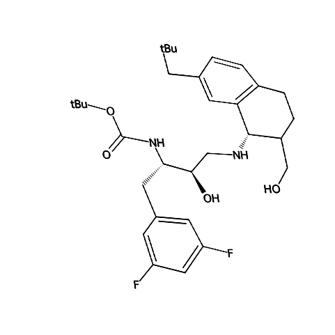 CC(C)(C)Cc1ccc2c(c1)[C@@H](NC[C@@H](O)[C@H](Cc1cc(F)cc(F)c1)NC(=O)OC(C)(C)C)C(CO)CC2